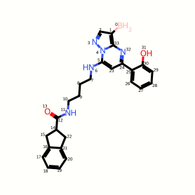 Bc1cnn2c(NCCCCNC(=O)C3Cc4ccccc4C3)cc(-c3ccccc3O)nc12